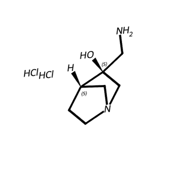 Cl.Cl.NC[C@]1(O)CN2CC[C@H]1C2